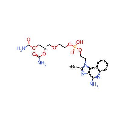 CCCCc1nc2c(N)nc3ccccc3c2n1CCOP(=O)(O)OCCOC[C@@H](COC(N)=O)OC(N)=O